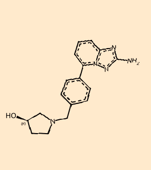 Nc1nc2cccc(-c3ccc(CN4CC[C@@H](O)C4)cc3)n2n1